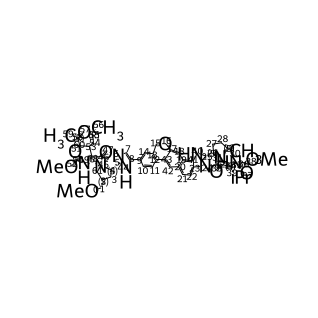 COC[C@H]1C[C@@H](c2ncc(-c3ccc4c(c3)COc3cc5c(ccc6nc([C@@H]7CC[C@H](C)N7C(=O)[C@@H](NC(=O)OC)C(C)C)[nH]c65)cc3-4)[nH]2)N(C(=O)[C@@H](NC(=O)OC)C2C[C@@H](C)O[C@H](C)C2)C1